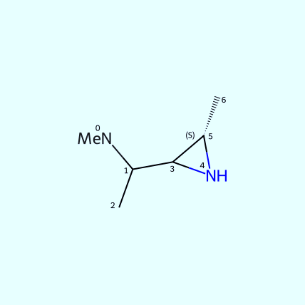 CNC(C)C1N[C@H]1C